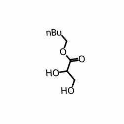 CCCCCOC(=O)C(O)CO